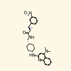 CN(C)c1cc(N[C@H]2CC[C@@H](CNC(=O)/C=C/c3cccc([N+](=O)[O-])c3)CC2)nc2ccccc12